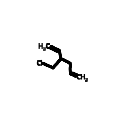 C=CCC(C=C)CCl